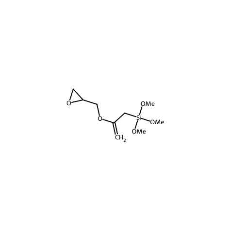 C=C(C[Si](OC)(OC)OC)OCC1CO1